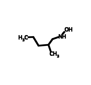 CCCC(C)CNO